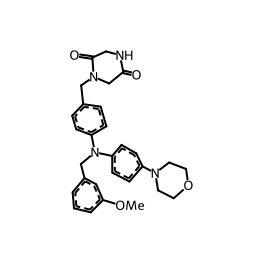 COc1cccc(CN(c2ccc(CN3CC(=O)NCC3=O)cc2)c2ccc(N3CCOCC3)cc2)c1